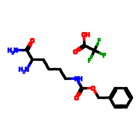 NC(=O)C(N)CCCCNC(=O)OCc1ccccc1.O=C(O)C(F)(F)F